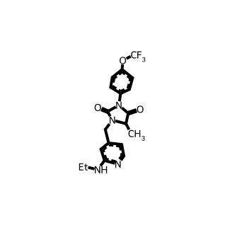 CCNc1cc(CN2C(=O)N(c3ccc(OC(F)(F)F)cc3)C(=O)C2C)ccn1